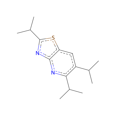 CC(C)c1nc2nc(C(C)C)c(C(C)C)cc2s1